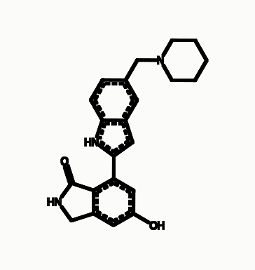 O=C1NCc2cc(O)cc(-c3cc4cc(CN5CCCCC5)ccc4[nH]3)c21